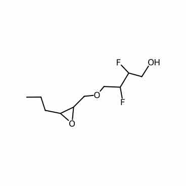 CCCC1OC1COCC(F)C(F)CO